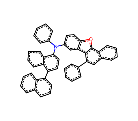 c1ccc(-c2cc3ccccc3c3oc4ccc(N(c5ccccc5)c5ccc(-c6cccc7ccccc67)c6ccccc56)cc4c23)cc1